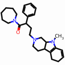 CN1C2=C(CCC=C2)C2CCN(CCC(C(=O)N3CCCCCC3)c3ccccc3)CC21